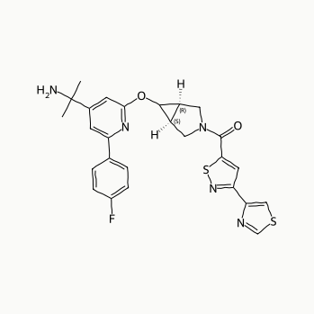 CC(C)(N)c1cc(OC2[C@H]3CN(C(=O)c4cc(-c5cscn5)ns4)C[C@@H]23)nc(-c2ccc(F)cc2)c1